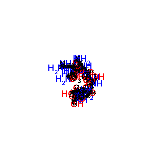 C[C@@H](O)[C@H](NC(=O)[C@H](CO)NC(=O)CNC(=O)[C@@H]1CCCN1C(=O)CNC(=O)[C@H](CO)NC(=O)[C@H](CO)NC(=O)CN)C(=O)NCC(=O)N[C@@H](CC(N)=O)C(=O)N[C@@H](CCCNC(=N)N)C(=O)N[C@@H](CC(N)=O)C(=O)O